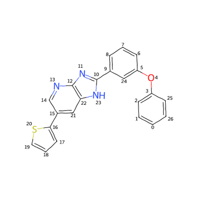 c1ccc(Oc2cccc(-c3nc4ncc(-c5cccs5)cc4[nH]3)c2)cc1